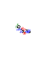 Cn1cc2c(c1C(=O)NC1=CCC(F)C(F)=C1)OCC(C)(c1ncccn1)NS2(=O)=O